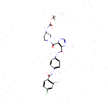 CC(C)(C)OC(=O)NC1CCN(C(=O)c2[nH]cnc2C(=O)Nc2ccc(NC(=O)c3ccc(F)cc3Cl)cc2)C1